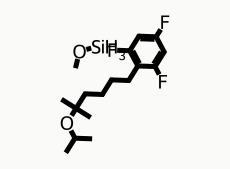 CC(C)OC(C)(C)CCCCc1c(F)cc(F)cc1F.CO[SiH3]